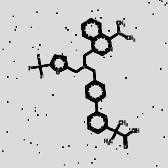 CN(C)c1ncc(CN(Cc2ccc(-c3cccc(C(C)(C)C(=O)O)c3)cc2)Cc2ccc(C(F)(F)F)o2)c2ccccc12